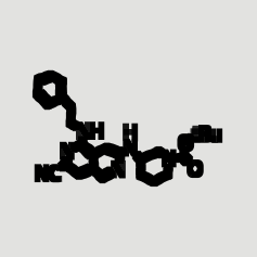 CC(C)(C)OC(=O)N1CCCC(Nc2cc3c(NCCc4ccccc4)nc(C#N)cc3cn2)C1